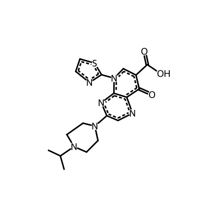 CC(C)N1CCN(c2cnc3c(=O)c(C(=O)O)cn(-c4nccs4)c3n2)CC1